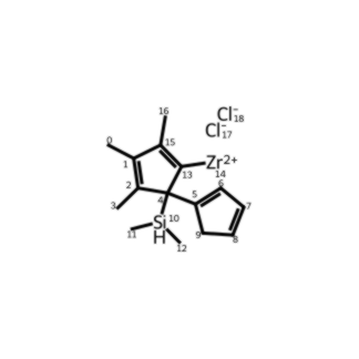 CC1=C(C)C(C2=CC=CC2)([SiH](C)C)[C]([Zr+2])=C1C.[Cl-].[Cl-]